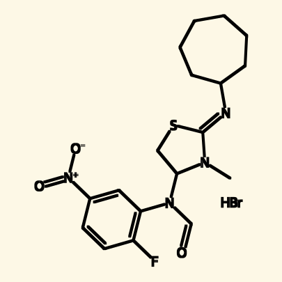 Br.CN1C(=NC2CCCCCC2)SCC1N(C=O)c1cc([N+](=O)[O-])ccc1F